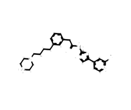 O=C(Cc1cccc(CCCCN2CCNCC2)c1)Nc1nc(-c2ccnc(Cl)c2)cs1